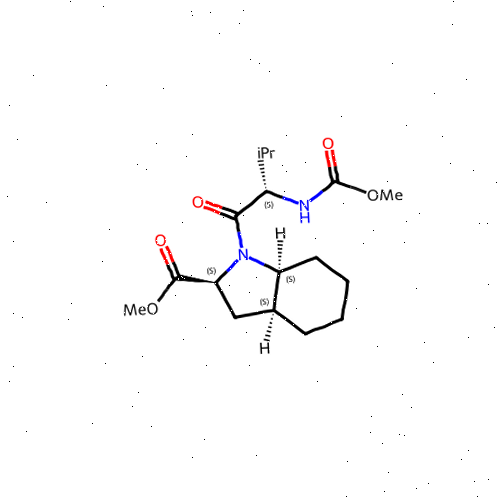 COC(=O)N[C@H](C(=O)N1[C@H](C(=O)OC)C[C@@H]2CCCC[C@@H]21)C(C)C